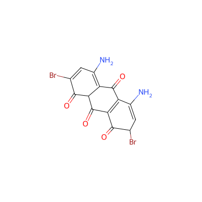 NC1=CC(Br)C(=O)C2=C1C(=O)C1=C(N)C=C(Br)C(=O)C1C2=O